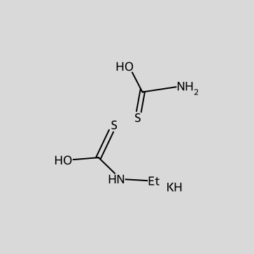 CCNC(O)=S.NC(O)=S.[KH]